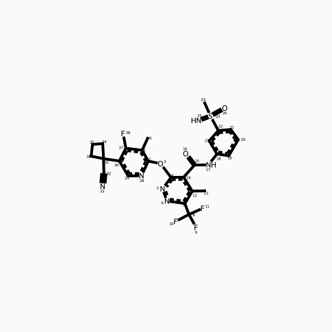 Cc1c(Oc2nnc(C(F)(F)F)c(C)c2C(=O)Nc2cccc(S(C)(=N)=O)c2)ncc(C2(C#N)CCC2)c1F